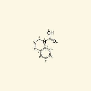 O=C(O)N1CC=Cc2ccccc21